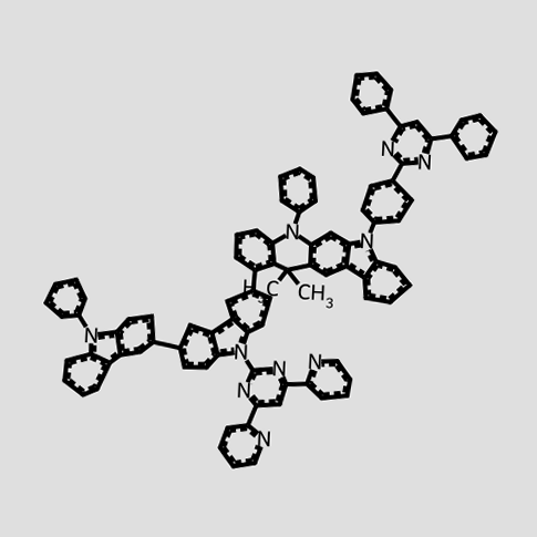 CC1(C)c2cc3c4ccccc4n(-c4ccc(-c5nc(-c6ccccc6)cc(-c6ccccc6)n5)cc4)c3cc2N(c2ccccc2)c2cccc(-c3ccc4c(c3)c3cc(-c5ccc6c(c5)c5ccccc5n6-c5ccccc5)ccc3n4-c3nc(-c4ccccn4)cc(-c4ccccn4)n3)c21